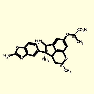 C[C@@H]1CC2c3c(cc(O[C@@H](C)C(=O)O)cc3C(N)[C@]2(N)c2ccc3oc(N)nc3c2)O1